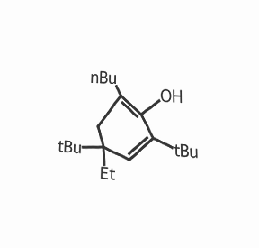 CCCCC1=C(O)C(C(C)(C)C)=CC(CC)(C(C)(C)C)C1